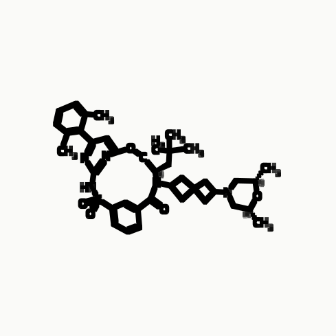 Cc1cccc(C)c1-c1cc2nc(n1)NS(=O)(=O)c1cccc(c1)C(=O)N(C1CC3(CC(N4C[C@@H](C)O[C@@H](C)C4)C3)C1)[C@H](CC(C)(C)C)CO2